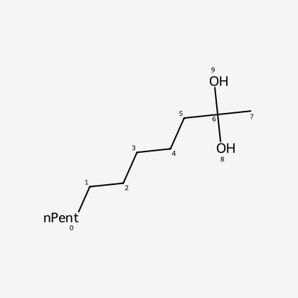 CCCCCCCCCCC(C)(O)O